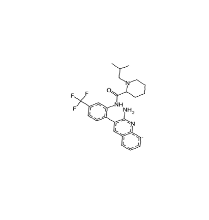 CC(C)CN1CCCCC1C(=O)Nc1cc(C(F)(F)F)ccc1-c1cc2ccc[c]c2nc1N